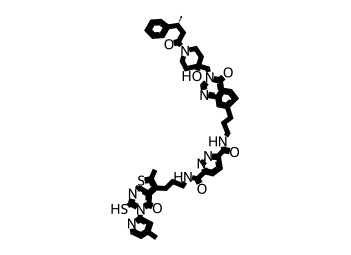 Cc1ccnc(-n2c(S)nc3sc(C)c(CCCNC(=O)c4ccc(C(=O)NCCCc5ccc6c(=O)n(CC7(O)CCN(C(=O)C[C@@H](C)c8ccccc8)CC7)cnc6c5)nn4)c3c2=O)c1